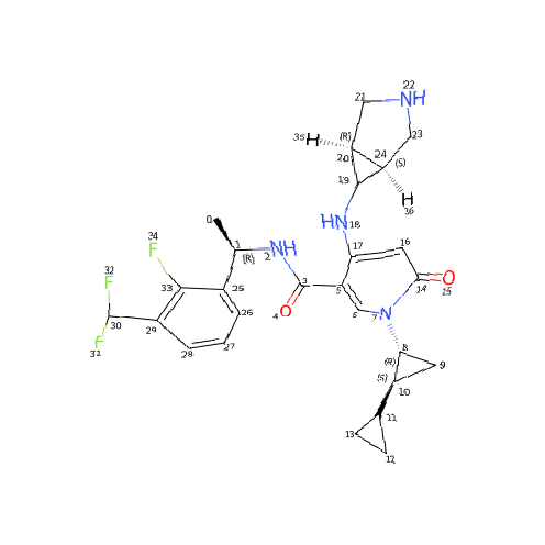 C[C@@H](NC(=O)c1cn([C@@H]2C[C@H]2C2CC2)c(=O)cc1NC1[C@H]2CNC[C@@H]12)c1cccc(C(F)F)c1F